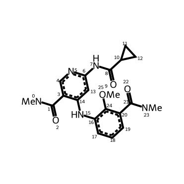 CNC(=O)c1cnc(NC(=O)C2CC2)cc1Nc1cccc(C(=O)NC)c1OC